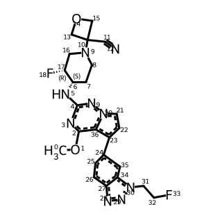 COc1nc(N[C@H]2CCN(C3(C#N)COC3)C[C@H]2F)nn2ccc(-c3ccc4nnn(CCF)c4c3)c12